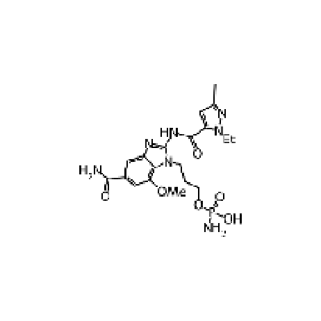 CCn1nc(C)cc1C(=O)Nc1nc2cc(C(N)=O)cc(OC)c2n1CCCOP(N)(=O)O